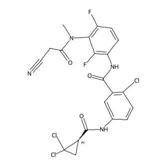 CN(C(=O)CC#N)c1c(F)ccc(NC(=O)c2cc(NC(=O)[C@H]3CC3(Cl)Cl)ccc2Cl)c1F